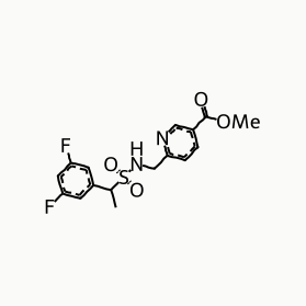 COC(=O)c1ccc(CNS(=O)(=O)C(C)c2cc(F)cc(F)c2)nc1